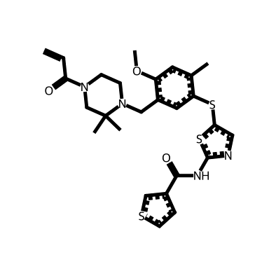 C=CC(=O)N1CCN(Cc2cc(Sc3cnc(NC(=O)c4ccsc4)s3)c(C)cc2OC)C(C)(C)C1